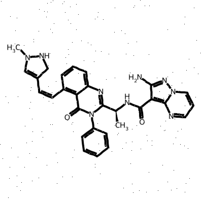 C[C@H](NC(=O)c1c(N)nn2cccnc12)c1nc2cccc(/C=C\C3=CN(C)NC3)c2c(=O)n1-c1ccccc1